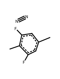 Cc1cc(F)c(C)c(F)c1.N#N